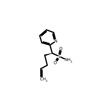 C=CCC[C@@H](c1ccccn1)S(N)(=O)=O